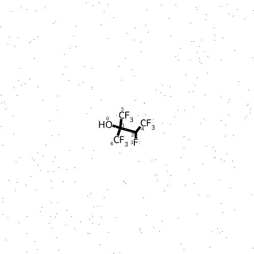 OC(C(F)C(F)(F)F)(C(F)(F)F)C(F)(F)F